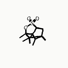 CC1C2(C)CC3C1(C)C(C)(OS3(=O)=O)C2(C)C